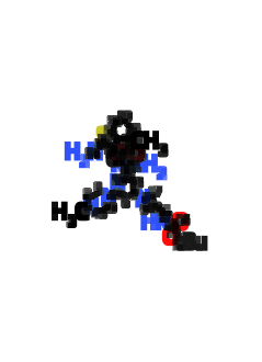 CN1CCN(c2cc(N3CC(CNC(=O)OC(C)(C)C)C3)cc(/C(N)=N/OC(=O)C3(C)CCCc4sc(N)c(C#N)c43)n2)CC1